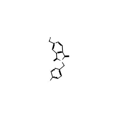 CCc1ccc2c(c1)C(=O)N(Cc1ccc(O)cc1)C2=O